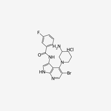 Cl.NC1CCCN(c2c(Br)cnc3[nH]cc(NC(=O)c4cccc(F)c4)c23)C1